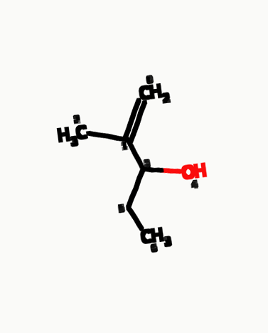 C=C(C)C(O)CC